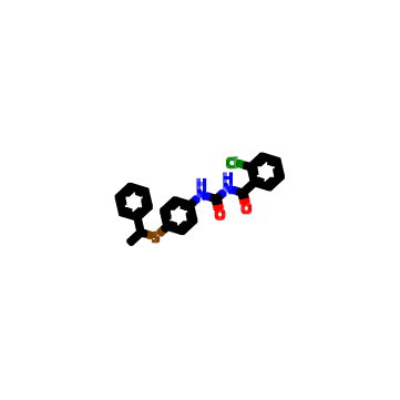 CC(Sc1ccc(NC(=O)NC(=O)c2ccccc2Cl)cc1)c1ccccc1